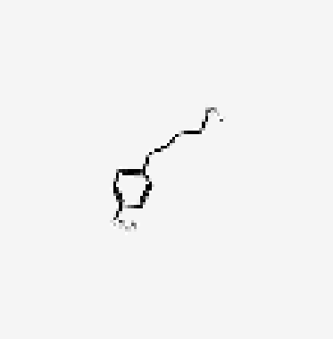 NCCCCc1ccc(C(=O)O)cc1